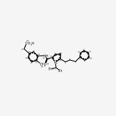 CCC(CC)n1c(CCCc2ccccc2)ccc1C(=O)Nc1cc(CC(=O)O)ccc1C(F)(F)F